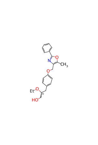 CCO[C@H](CO)Cc1ccc(OCc2nc(-c3ccccc3)oc2C)cc1